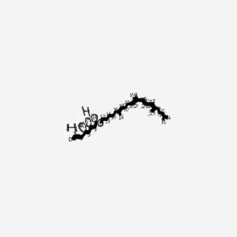 C/C=C/C(O)CC(O)CC(=O)OCCCCC/C(C)=C/CC/C=C(\C)CC/C=C(\C)CCC=C(C)C